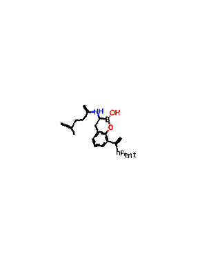 C=C(C)CCC(=C)NC1Cc2cccc(C(=C)CCCCC)c2OB1O